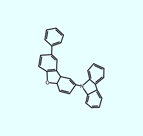 C1=CC2Oc3ccc(-c4ccccc4)cc3C2C=C1n1c2ccccc2c2ccccc21